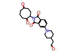 O=CCC1CCN(c2ccc3c(c2)C(=O)N(C2CCC(=O)CCCC2=O)C3=O)CC1